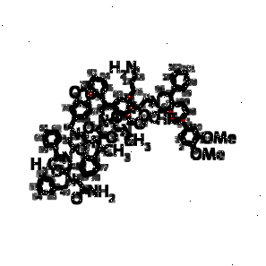 COc1ccc(CNCC(=O)N(CC(=O)N(CCCCN)CC(=O)N(C)CC(=O)N(CC(=O)N(CC(=O)N(CC(=O)N(CC(=O)N(CC(N)=O)Cc2ccccc2)[C@@H](C)c2ccccc2)Cc2ccc3c(c2)OCO3)[C@@H](C)c2ccccc2)CC(c2ccccc2)c2ccccc2)CC(c2ccccc2)c2ccccc2)cc1OC